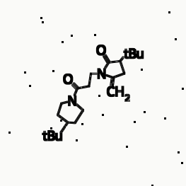 C=C1CC(C(C)(C)C)C(=O)N1CCC(=O)N1CCC(C(C)(C)C)CC1